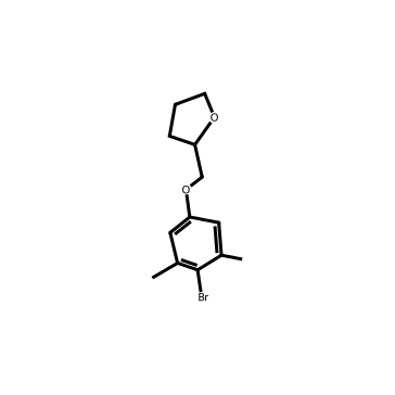 Cc1cc(OCC2CCCO2)cc(C)c1Br